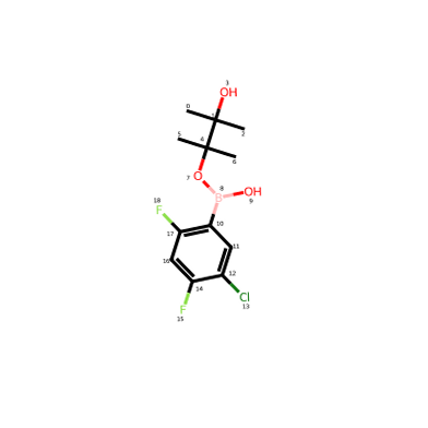 CC(C)(O)C(C)(C)OB(O)c1cc(Cl)c(F)cc1F